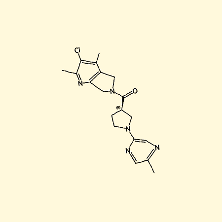 Cc1cnc(N2CC[C@@H](C(=O)N3Cc4nc(C)c(Cl)c(C)c4C3)C2)cn1